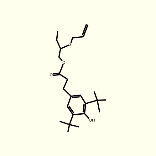 C=CCSC(CC)COC(=O)CCc1cc(C(C)(C)C)c(O)c(C(C)(C)C)c1